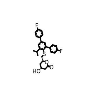 CC(C)c1cc(-c2ccc(F)cc2)cc(-c2ccc(F)cc2)c1SC[C@@H]1C[C@@H](O)CC(=O)O1